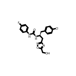 O=C(Nc1ccc(F)cc1)N[C@@H](Cc1ccc(Cl)cc1)Cc1noc(CO)n1